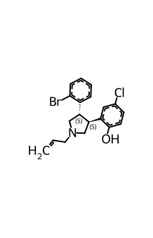 C=CCN1C[C@H](c2cc(Cl)ccc2O)[C@@H](c2ccccc2Br)C1